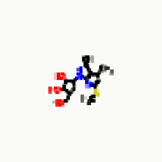 C#Cc1c(C)cc(SC)nc1NC1CC(CO)[C@@H](O)[C@H]1O